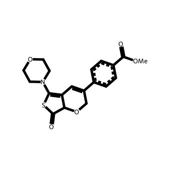 COC(=O)c1ccc(C2=CC3=C(N4CCOCC4)SC(=O)C3OC2)cc1